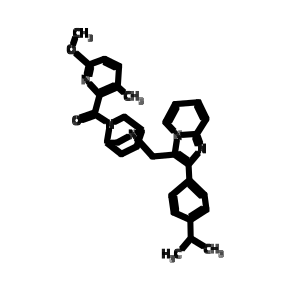 COc1ccc(C)c(C(=O)N2CC3CCC2CN3Cc2c(-c3ccc(C(C)C)cc3)nc3ccccn23)n1